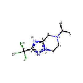 CC(C)N1CCn2nc(C(F)(F)F)nc2C1